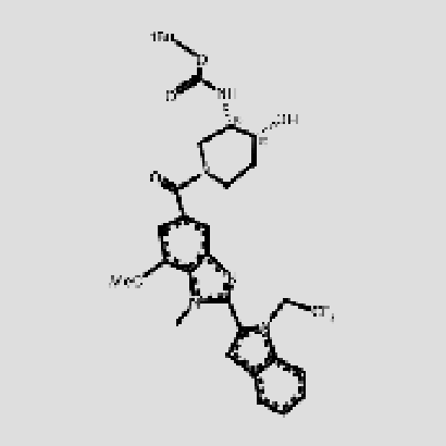 COc1cc(C(=O)N2CC[C@@H](O)[C@@H](NC(=O)OC(C)(C)C)C2)cc2nc(-c3cc4ccccc4n3CC(F)(F)F)n(C)c12